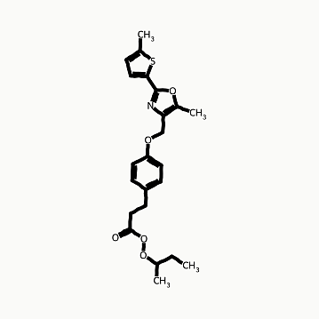 CCC(C)OOC(=O)CCc1ccc(OCc2nc(-c3ccc(C)s3)oc2C)cc1